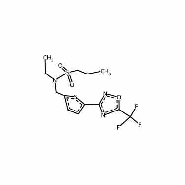 CCCS(=O)(=O)N(CC)Cc1ccc(-c2noc(C(F)(F)F)n2)s1